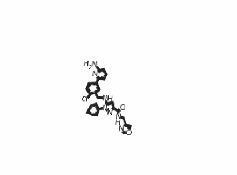 Nc1cccc(-c2ccc(Cl)c(CNc3cc(C(=O)NCc4cocn4)nn3-c3ccccc3)c2)n1